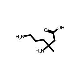 CC(N)(CCCN)CC(=O)O